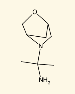 CC(C)(N)N1CC2CC1CO2